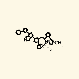 C=C1CC2C(CCc3cc(-c4ccc(-c5cccc(-c6ccccc6)c5)c5cnccc45)ccc3-c3cccc[n+]31)c1ccccc1-c1cc(C)cc[n+]12